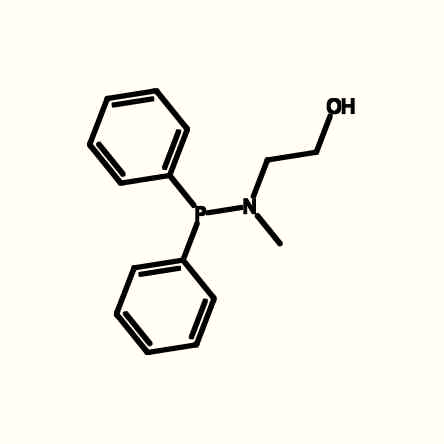 CN(CCO)P(c1ccccc1)c1ccccc1